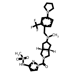 CN(Cc1ccc(N2CCCC2)cc1C(F)(F)F)C1C[C@@H]2CN(C(=O)n3ccc(NS(C)(=O)=O)n3)C[C@@H]2C1